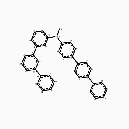 CN(c1ccc(-c2ccc(-c3ccccc3)cc2)cc1)c1cccc(-c2cccc(-c3ccccc3)c2)c1